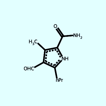 CCCc1[nH]c(C(N)=O)c(C)c1C=O